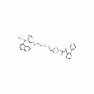 C[C@H](c1cccc2ccccc12)N(C)CCCCCCCCCN1CCC(OC(=O)Nc2ccccc2-c2ccccc2)CC1